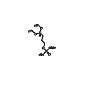 CCCCP(=O)(OC)OCCC[SiH](OCCC)OCCC